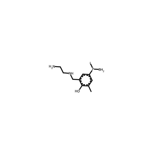 BP(I)c1cc(C)c(O)c(CNCCN)c1